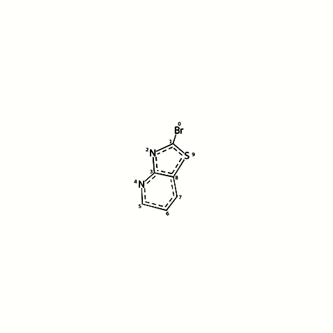 Brc1nc2ncccc2s1